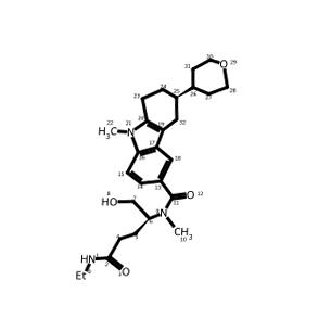 CCNC(=O)CC[C@@H](CO)N(C)C(=O)c1ccc2c(c1)c1c(n2C)CC[C@@H](C2CCOCC2)C1